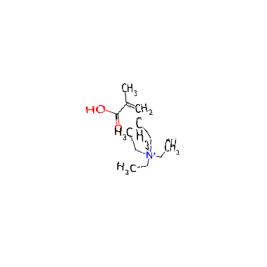 C=C(C)C(=O)O.CC[N+](CC)(CC)CC